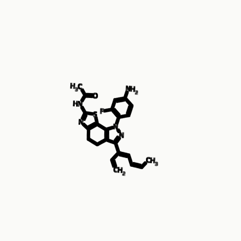 C=C/C(=C\C=C/C)c1nn(-c2ccc(N)cc2F)c2c1CCc1nc(NC(C)=O)sc1-2